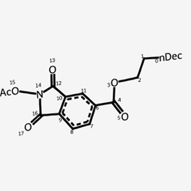 CCCCCCCCCCCCOC(=O)c1ccc2c(c1)C(=O)N(OC(C)=O)C2=O